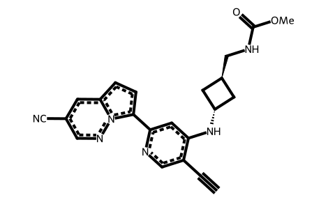 C#Cc1cnc(-c2ccc3cc(C#N)cnn23)cc1N[C@H]1C[C@H](CNC(=O)OC)C1